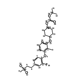 Cc1c(Oc2ccc(CCS(C)(=O)=O)cc2F)ncnc1OC1CCN(OC(=O)OC(C)C)CC1